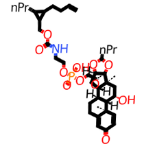 C=CCCC1C(CCC)C1COC(=O)NCCOP(=O)(O)OCC(=O)[C@@]12OC(CCC)O[C@@H]1C[C@H]1[C@@H]3CCC4=CC(=O)C=C[C@]4(C)[C@H]3[C@@H](O)C[C@@]12C